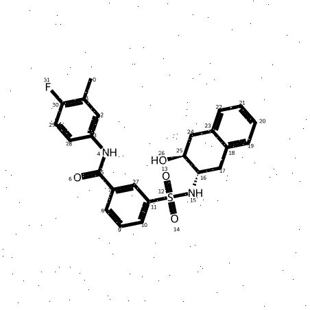 Cc1cc(NC(=O)c2cccc(S(=O)(=O)N[C@H]3Cc4ccccc4C[C@@H]3O)c2)ccc1F